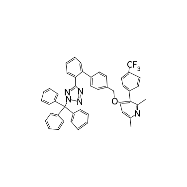 Cc1cc(OCc2ccc(-c3ccccc3-c3nnn(C(c4ccccc4)(c4ccccc4)c4ccccc4)n3)cc2)c(-c2ccc(C(F)(F)F)cc2)c(C)n1